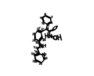 O=C(NO)C(c1ccccc1)c1cccc(NCc2ccccn2)c1